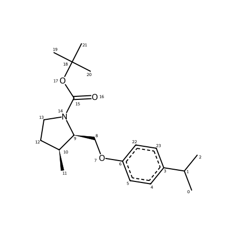 CC(C)c1ccc(OC[C@H]2[C@@H](C)CCN2C(=O)OC(C)(C)C)cc1